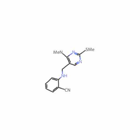 CNc1nc(SC)ncc1CNc1ccccc1C#N